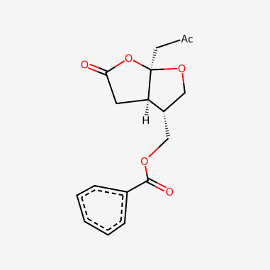 CC(=O)C[C@]12OC[C@H](COC(=O)c3ccccc3)[C@H]1CC(=O)O2